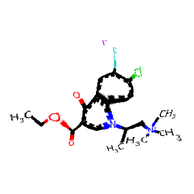 CCOC(=O)c1cn(C(C)C[N+](C)(C)C)c2cc(Cl)c(F)cc2c1=O.[I-]